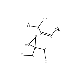 C/C=C\C(Cl)Cl.ClCC1(CCl)CO1